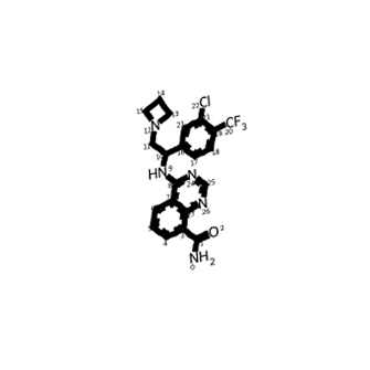 NC(=O)c1cccc2c(NC(CN3CCC3)c3ccc(C(F)(F)F)c(Cl)c3)ncnc12